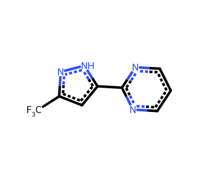 FC(F)(F)c1cc(-c2ncccn2)[nH]n1